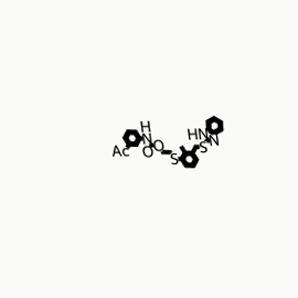 CC(=O)c1cccc(NC(=O)OCCSc2cccc(CSc3nc4ccccc4[nH]3)c2C)c1